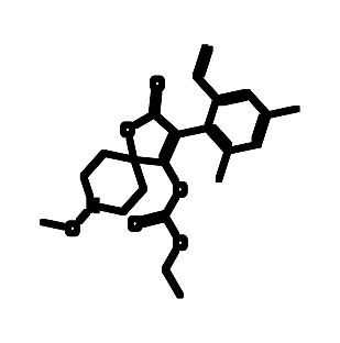 C=Cc1cc(C)cc(C)c1C1=C(OC(=O)OCC)C2(CCN(OC)CC2)OC1=O